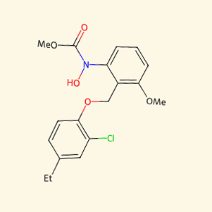 CCc1ccc(OCc2c(OC)cccc2N(O)C(=O)OC)c(Cl)c1